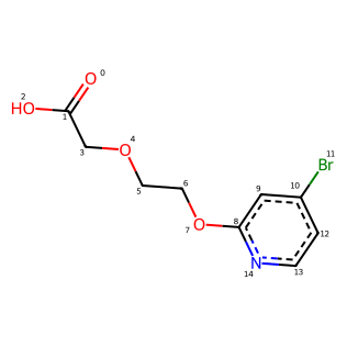 O=C(O)COCCOc1cc(Br)ccn1